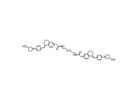 O=C(C[n+]1ccc2c(c1)CCC/C2=C\c1ccc(N2CCC(O)C2)cc1)NCCSSCCNC(=O)C[n+]1ccc2c(c1)CCC/C2=C\c1ccc(N2CCC(O)C2)cc1